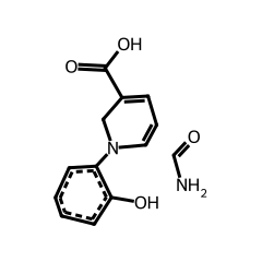 NC=O.O=C(O)C1=CC=CN(c2ccccc2O)C1